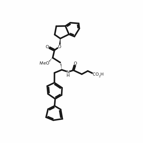 CO[C@@H](C[C@@H](Cc1ccc(-c2ccccc2)cc1)NC(=O)CCC(=O)O)C(=O)O[C@H]1CCc2ccccc21